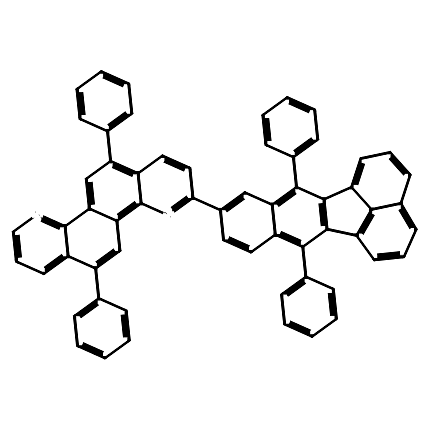 c1ccc(-c2c3c(c(-c4ccccc4)c4cc(-c5ccc6c(-c7ccccc7)cc7c(cc(-c8ccccc8)c8cccnc87)c6n5)ccc24)-c2cccc4cccc-3c24)cc1